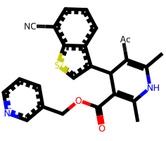 CC(=O)C1=C(C)NC(C)=C(C(=O)OCc2cccnc2)C1c1csc2c(C#N)cccc12